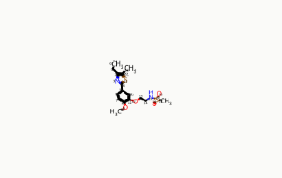 C[CH]c1nc(-c2ccc(OC)c(OCCNS(C)(=O)=O)c2)sc1C